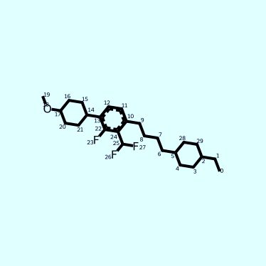 CCC1CCC(CCCCc2ccc(C3CCC(OC)CC3)c(F)c2C(F)F)CC1